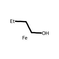 [CH2-]CCCO.[Fe]